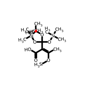 CC(O[SiH3])=C(C(=O)O)C(O[SiH](C)C)(O[Si](C)(C)C)O[Si](C)(C)C